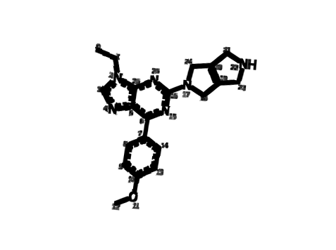 CCn1cnc2c(-c3ccc(OC)cc3)nc(N3CC4=C(CNC4)C3)nc21